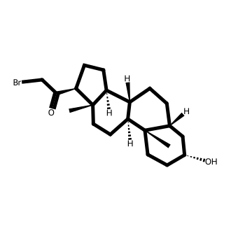 C[C@]12CC[C@@H](O)C[C@H]1CC[C@@H]1[C@@H]2CC[C@]2(C)[C@@H](C(=O)CBr)CC[C@@H]12